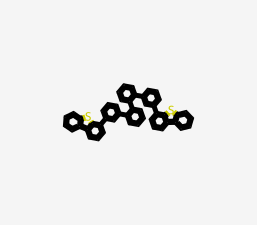 c1cc(-c2ccccc2-c2ccccc2-c2cccc(-c3cccc4c3sc3ccccc34)c2)cc(-c2cccc3c2sc2ccccc23)c1